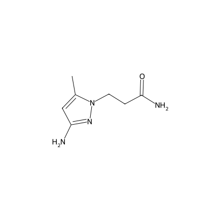 Cc1cc(N)nn1CCC(N)=O